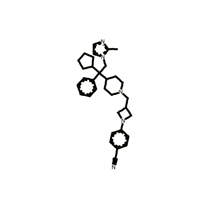 Cc1nccn1CC(c1ccccc1)(C1CCCC1)C1CCN(CC2CN(c3ccc(C#N)cc3)C2)CC1